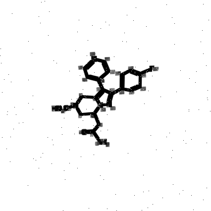 NC(=O)CC1CN(C(=O)O)Cc2c(-c3ccncc3)c(-c3ccc(F)cc3)nn21